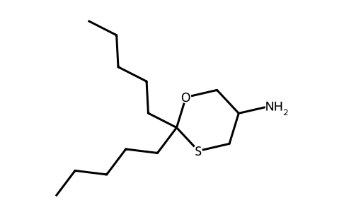 CCCCCC1(CCCCC)OCC(N)CS1